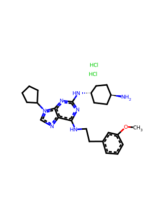 COc1cccc(CCNc2nc(N[C@H]3CC[C@H](N)CC3)nc3c2ncn3C2CCCC2)c1.Cl.Cl